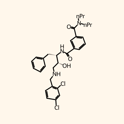 CCCN(CCC)C(=O)c1cccc(C(=O)N[C@@H](Cc2ccccc2)[C@H](O)CNCc2ccc(Cl)cc2Cl)c1